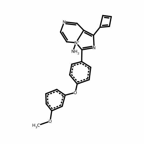 COc1cccc(Oc2ccc(C3=NC(C4=CC=C4)=C4C=NC=C[N+]34N)cc2)c1